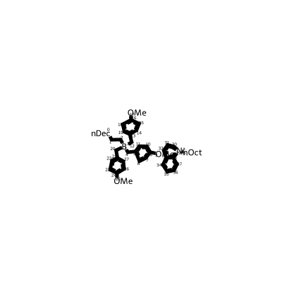 CCCCCCCCCCCC[B-](Cc1ccc(OC)cc1)(Cc1ccc(OC)cc1)Cc1ccc(OC)cc1.CCCCCCCC[n+]1cccc2ccccc21